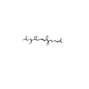 CC(C)=CCCCC(=O)NCCCNC(=O)CCC(C)C